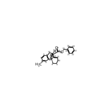 Cc1ccc2c(c1)[C@@]13CCCC=C1[C@@H](C2)N(C(=O)OCc1ccccc1)CC3